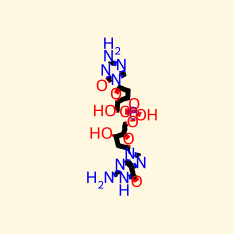 Nc1ncn([C@@H]2C[C@@H](OP(=O)(O)OCC3O[C@@H](n4cnc5c(=O)[nH]c(N)nc54)C[C@H]3O)C(CO)O2)c(=O)n1